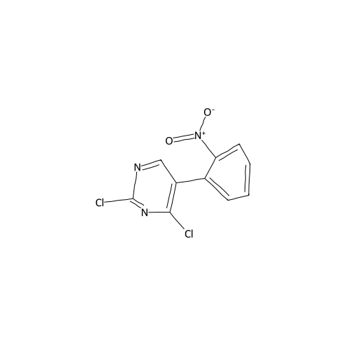 O=[N+]([O-])c1ccccc1-c1cnc(Cl)nc1Cl